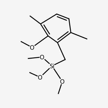 COc1c(C)ccc(C)c1C[Si](OC)(OC)OC